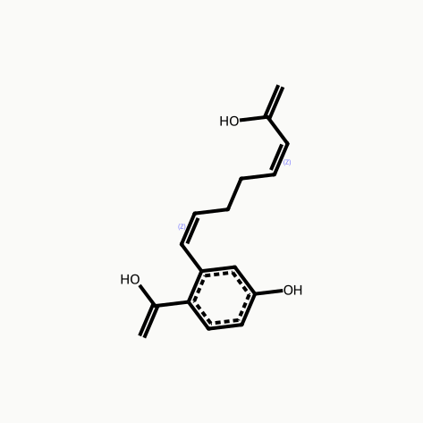 C=C(O)/C=C\CC/C=C\c1cc(O)ccc1C(=C)O